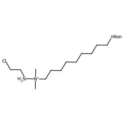 CCCCCCCCCCCCCCCCCC[N+](C)(C)[SiH2]CCCl